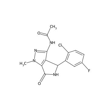 CC(=O)Nc1nn(C)c2c1C(c1cc(F)ccc1Cl)NC2=O